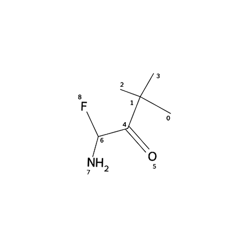 CC(C)(C)C(=O)C(N)F